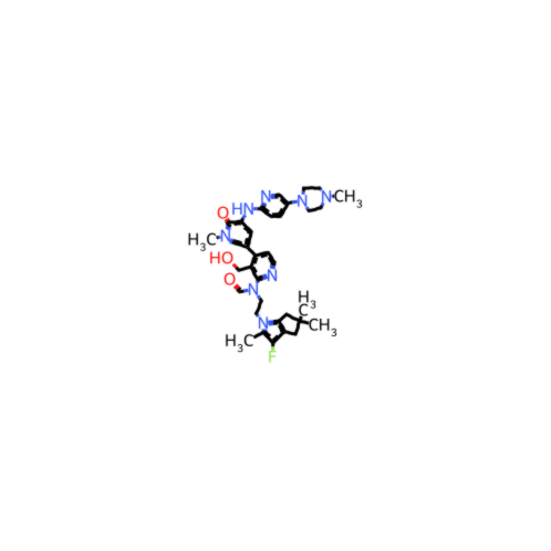 Cc1c(F)c2c(n1CCN(C=O)c1nccc(-c3cc(Nc4ccc(N5CCN(C)CC5)cn4)c(=O)n(C)c3)c1CO)CC(C)(C)C2